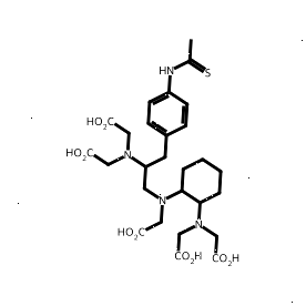 CC(=S)Nc1ccc(CC(CN(CC(=O)O)C2CCCCC2N(CC(=O)O)CC(=O)O)N(CC(=O)O)CC(=O)O)cc1